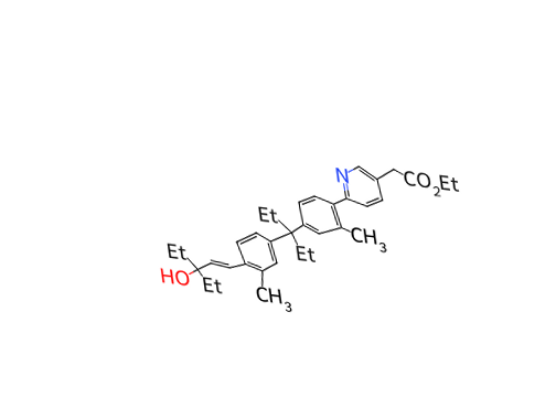 CCOC(=O)Cc1ccc(-c2ccc(C(CC)(CC)c3ccc(C=CC(O)(CC)CC)c(C)c3)cc2C)nc1